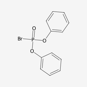 O=P(Br)(Oc1ccccc1)Oc1ccccc1